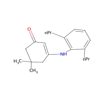 CCCc1cccc(CCC)c1NC1=CC(=O)CC(C)(C)C1